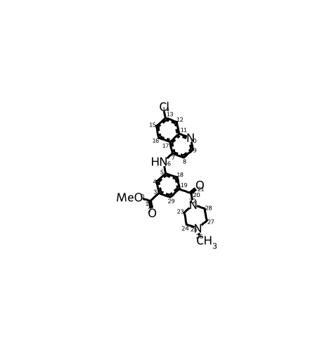 COC(=O)c1cc(Nc2ccnc3cc(Cl)ccc23)cc(C(=O)N2CCN(C)CC2)c1